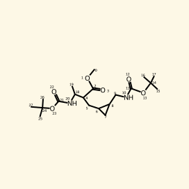 COC(=O)C(CC1CC1CNC(=O)OC(C)(C)C)C(C)NC(=O)OC(C)(C)C